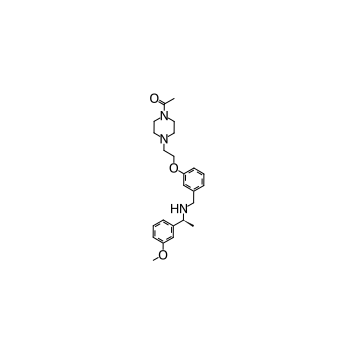 COc1cccc([C@H](C)NCc2cccc(OCCN3CCN(C(C)=O)CC3)c2)c1